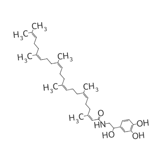 CC(C)=CCCC(C)=CCCC(C)=CCCC(C)=CCCC(C)=CCCC(C)=CC(=O)NCC(O)c1ccc(O)c(O)c1